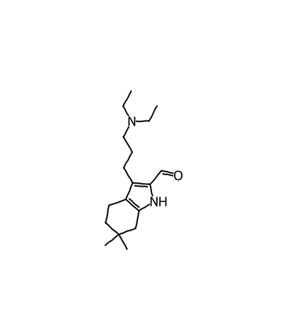 CCN(CC)CCCc1c(C=O)[nH]c2c1CCC(C)(C)C2